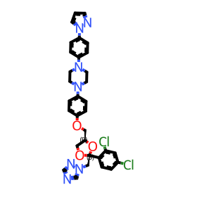 Clc1ccc([C@]2(Cn3cncn3)OC[C@@H](COc3ccc(N4CCN(c5ccc(-n6cccn6)cc5)CC4)cc3)O2)c(Cl)c1